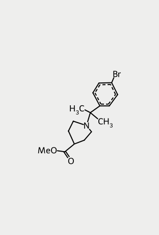 COC(=O)C1CCN(C(C)(C)c2ccc(Br)cc2)CC1